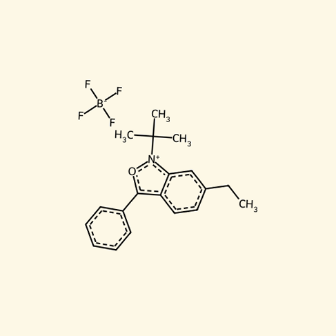 CCc1ccc2c(-c3ccccc3)o[n+](C(C)(C)C)c2c1.F[B-](F)(F)F